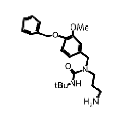 COc1cc(CN(CCCN)C(=O)NC(C)(C)C)ccc1OCc1ccccc1